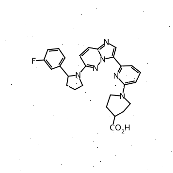 O=C(O)C1CCN(c2cccc(-c3cnc4ccc(N5CCCC5c5cccc(F)c5)nn34)n2)CC1